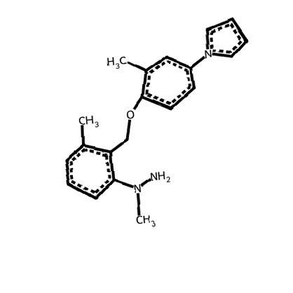 Cc1cc(-n2cccc2)ccc1OCc1c(C)cccc1N(C)N